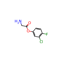 NCC(=O)Oc1ccc(F)c(Cl)c1